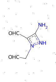 Nc1[nH]n(CC=O)c1C=O